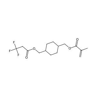 C=C(C)C(=O)OCC1CCC(COC(=O)CC(F)(F)F)CC1